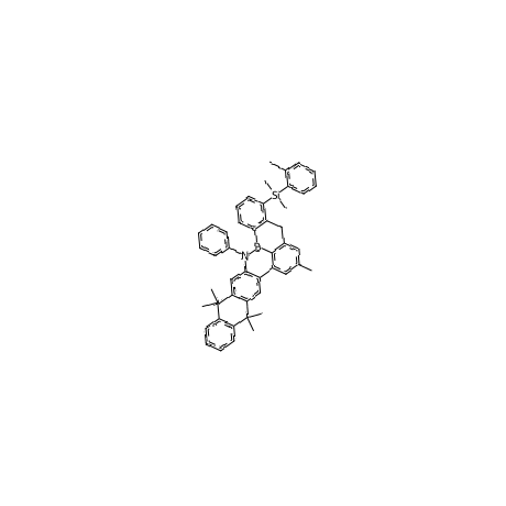 Cc1cc2c3c(c1)-c1cc4c(cc1N(c1ccccc1)B3c1cccc([Si](C)(C)c3ccccc3C)c1C2)C(C)(C)c1ccccc1C4(C)C